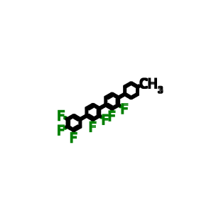 CC1CCC(c2ccc(-c3ccc(-c4cc(F)c(F)c(F)c4)c(F)c3F)c(F)c2F)CC1